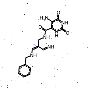 N=C/C(=C\NCc1ccccc1)CNC(=O)c1[nH]c(=O)[nH]c(=O)c1N